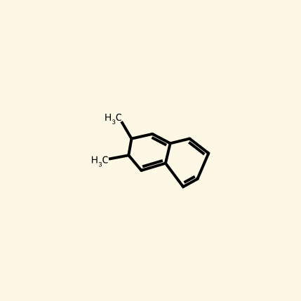 CC1C=c2ccccc2=CC1C